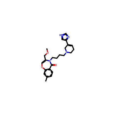 COCC1=COc2cc(C)ccc2C(=O)N1CCCCN1CCC=C(c2c[nH]cn2)C1